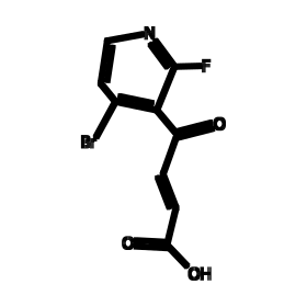 O=C(O)/C=C/C(=O)c1c(Br)ccnc1F